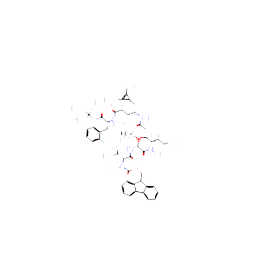 CC[C@H](C)[C@@H]([C@@H](CC(=O)N[C@@H](CC1C(C)=C1C)[C@H](OC)[C@@H](C)C(=O)N[C@@H](Cc1ccccc1F)C(=O)OC(C)(C)C)OC)N(C)C(=O)[C@@H](NC(=O)[C@H](C(C)C)N(C)C(=O)OCC1c2ccccc2-c2ccccc21)C(C)C